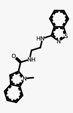 Cn1c(C(=O)NCCNc2nsc3ccccc23)cc2ccccc21